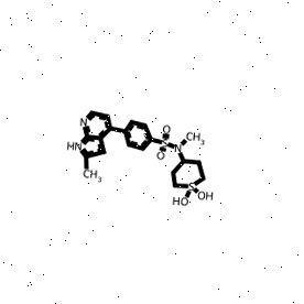 Cc1cc2c(-c3ccc(S(=O)(=O)N(C)C4CCS(O)(O)CC4)cc3)ccnc2[nH]1